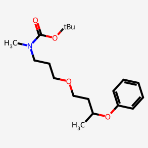 CC(CCOCCCN(C)C(=O)OC(C)(C)C)Oc1ccccc1